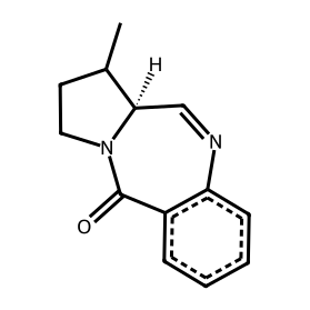 CC1CCN2C(=O)c3ccccc3N=C[C@H]12